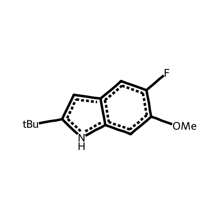 COc1cc2[nH]c(C(C)(C)C)cc2cc1F